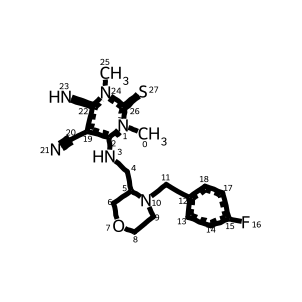 Cn1c(NCC2COCCN2Cc2ccc(F)cc2)c(C#N)c(=N)n(C)c1=S